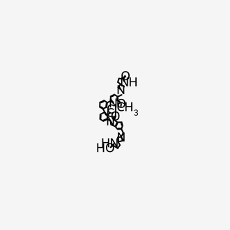 COc1nc(-c2cccc(-c3cccc(N4Cc5cc(CN6CC7(CCC(O)N7)C6)ccc5C4=O)c3Cl)c2Cl)ccc1CN1CC2(CCC(=O)N2)C1